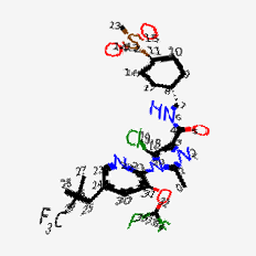 Cc1nc(C(=O)NC[C@H]2CC[C@H](S(C)(=O)=O)CC2)c(Cl)n1-c1ncc(CC(C)(C)C(F)(F)F)cc1OC(F)F